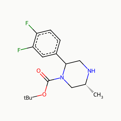 C[C@@H]1CN(C(=O)OC(C)(C)C)C(c2ccc(F)c(F)c2)CN1